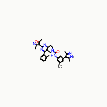 CCc1cc(NC(=O)N2CCc3nc(-c4c(C)noc4C)nc(-c4ccccc4C)c3C2)cc(-c2c(C)nn(C)c2C)c1